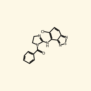 O=C(c1ccccc1)N1CCN=C1Nc1c(Cl)ccc2nsnc12